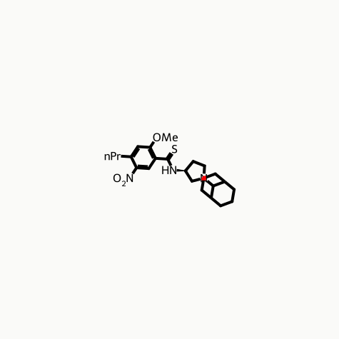 CCCc1cc(OC)c(C(=S)N[C@H]2CCN(C3C4CCCC3CCC4)C2)cc1[N+](=O)[O-]